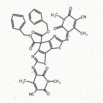 CC1=C(C#N)C(=O)N(C)C(=O)/C1=N\c1nc2c(s1)-c1sc(/N=C3\C(=O)N(C)C(=O)C(C#N)=C3C)nc1C2(C(=O)OCc1ccccc1)C(=O)OCc1ccccc1